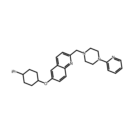 CC(C)C1CCC(Oc2ccc3nc(CN4CCN(c5ccccn5)CC4)ccc3c2)CC1